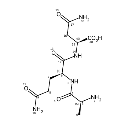 C[C@H](N)C(=O)N[C@@H](CCC(N)=O)C(=O)N[C@@H](CC(N)=O)C(=O)O